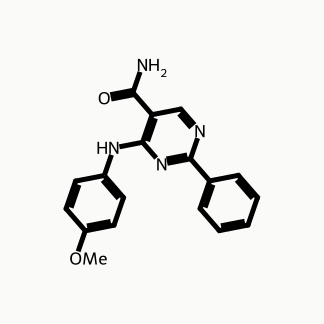 COc1ccc(Nc2nc(-c3ccccc3)ncc2C(N)=O)cc1